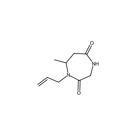 C=CCN1C(=O)CNC(=O)CC1C